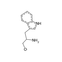 NC(C[O])Cc1c[nH]c2ccccc12